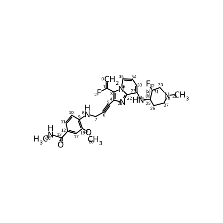 C=C(F)c1c(C#CCNc2ccc(C(=O)NC)cc2OC)nc2c(N[C@@H]3CCN(C)C[C@@H]3F)cccn12